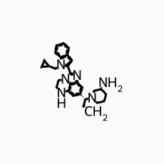 C=C[C@H](c1cc2c3c(c1)nc(-c1cc4ccccc4n1CC1CC1)n3CCN2)N1CCC[C@@H](N)C1